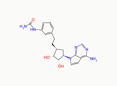 NC(=O)Nc1cccc(CC[C@H]2C[C@@H](n3ccc4c(N)ncnc43)[C@H](O)[C@@H]2O)c1